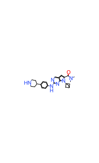 CN(C)C(=O)c1cc2cnc(Nc3ccc(C4CCNCC4)cc3)nc2n1C12CC(C1)C2